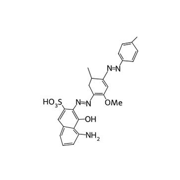 COC1=C(/N=N/c2c(S(=O)(=O)O)cc3cccc(N)c3c2O)CC(C)C(/N=N/c2ccc(C)cc2)=C1